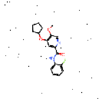 COc1cnc(C(=O)Nc2ccccc2F)cc1OC1CCCC1